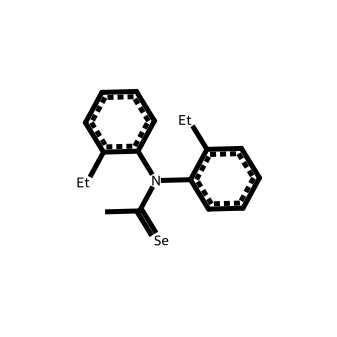 CCc1ccccc1N(C(C)=[Se])c1ccccc1CC